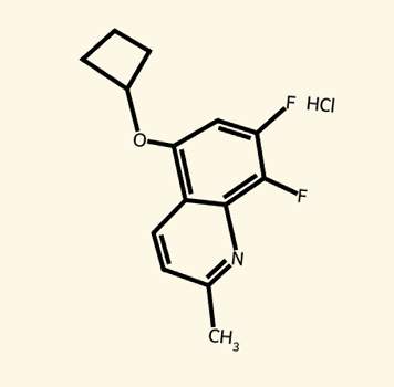 Cc1ccc2c(OC3CCC3)cc(F)c(F)c2n1.Cl